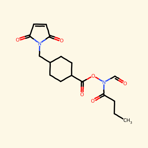 CCCC(=O)N(C=O)OC(=O)C1CCC(CN2C(=O)C=CC2=O)CC1